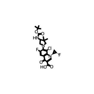 CC(C)(C)OC(=O)NC1CN(c2c(F)cc3c(=O)c(C(=O)O)cn([C@@H]4C[C@@H]4F)c3c2Cl)CC1(C)C